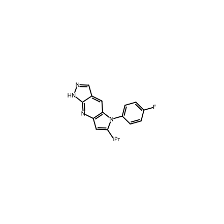 CC(C)c1cc2nc3[nH]ncc3cc2n1-c1ccc(F)cc1